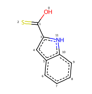 OC(=S)c1cc2ccccc2[nH]1